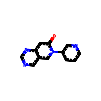 O=c1cc2ncncc2cn1-c1cccnc1